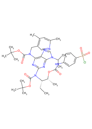 CC[C@@H]([C@@H](C)OC(=O)Nc1ccc(S(=O)(=O)Cl)cc1)N(C(=O)OC(C)(C)C)c1nc(N(Cc2cnc(C)cc2C)C(=O)OC(C)(C)C)c2ncn(C(C)C)c2n1